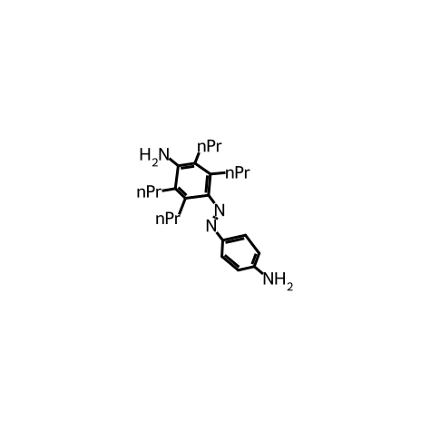 CCCc1c(N)c(CCC)c(CCC)c(N=Nc2ccc(N)cc2)c1CCC